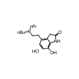 CCCCN(CCC)CCc1ccc(O)c2c1CC(=O)N2.Cl